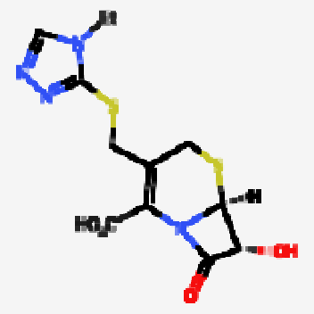 CCn1cnnc1SCC1=C(C(=O)O)N2C(=O)[C@@H](O)[C@@H]2SC1